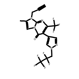 C#CCn1c(C)cn2c(=O)c(-c3cnn(CC(F)(F)C(F)(F)F)c3)c(C(F)(F)F)nc12